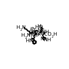 CC(C)[C@H](NC(=O)[C@H](Cc1c[nH]c2ccccc12)NC(=O)[C@@H](N)CCCCN)C(=O)N[C@H](C(=O)N[C@@H](Cc1c[nH]cn1)C(=O)O)[C@@H](C)O